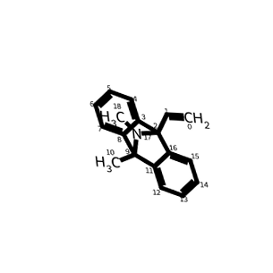 C=CC12c3ccccc3C(C)(c3ccccc31)N2C